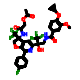 COc1cc(C(=O)NC[C@](O)(c2cc3c(c(-c4ccc(F)cc4)n2)OC[C@@]3(NC(=O)COC(C)=O)C(F)(F)F)C(F)(F)F)ccc1OC1CC1